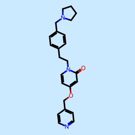 O=c1cc(OCc2ccncc2)ccn1CCc1ccc(CN2CCCC2)cc1